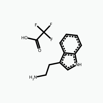 NCCc1c[nH]c2ccccc12.O=C(O)C(F)(F)F